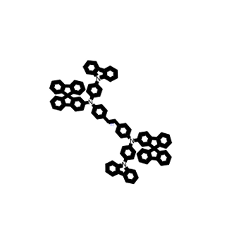 C(=C\c1ccc(N(c2ccc(-n3c4ccccc4c4ccccc43)cc2)c2ccc3c(c2)C2(c4ccccc4-c4ccccc42)c2ccccc2-3)cc1)/c1ccc(N(c2ccc(-n3c4ccccc4c4ccccc43)cc2)c2ccc3c(c2)C2(c4ccccc4-c4ccccc42)c2ccccc2-3)cc1